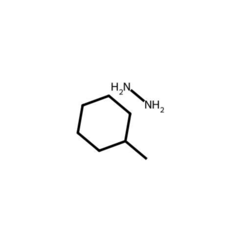 CC1CCCCC1.NN